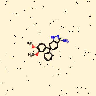 COc1ccc(C2(c3ccccc3)C=Cc3c(N)n[nH]c3C2)cc1OC